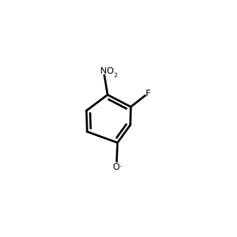 [O]c1ccc([N+](=O)[O-])c(F)c1